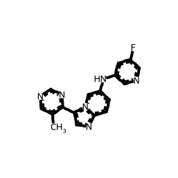 Cc1cncnc1-c1cnc2ccc(Nc3cncc(F)c3)cn12